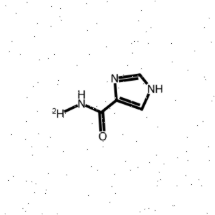 [2H]NC(=O)c1c[nH]cn1